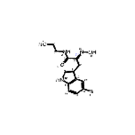 O=C(NCCO)/C(CC1CNc2ccc(Br)cc21)=N/O